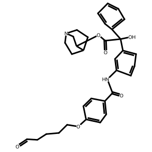 O=CCCCCOc1ccc(C(=O)Nc2cccc(C(O)(C(=O)OC3CN4CCC3CC4)c3ccccc3)c2)cc1